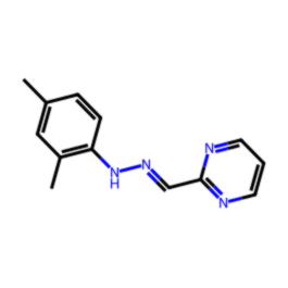 Cc1ccc(N/N=C/c2ncccn2)c(C)c1